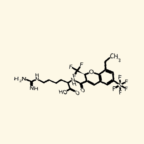 CCc1cc(S(F)(F)(F)(F)F)cc2c1O[C@H](C(F)(F)F)C(C(=O)NC(CCCCNC(=N)N)C(=O)O)=C2